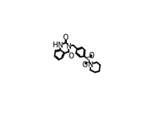 O=c1[nH]c2ccccc2c(=O)n1Cc1ccc(S(=O)(=O)N2CCCCC2)cc1